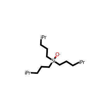 CC(C)CCC[Si]([O])(CCCC(C)C)CCCC(C)C